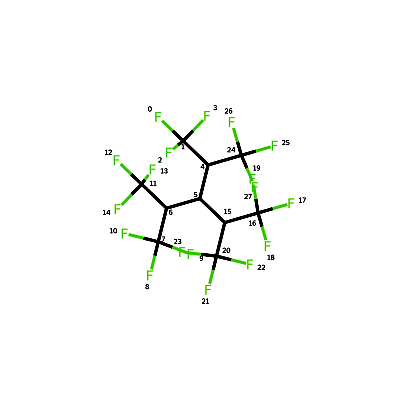 FC(F)(F)C(C(C(C(F)(F)F)C(F)(F)F)C(C(F)(F)F)C(F)(F)F)C(F)(F)F